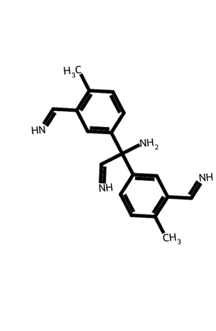 Cc1ccc(C(N)(C=N)c2ccc(C)c(C=N)c2)cc1C=N